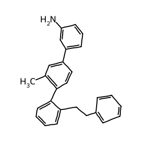 Cc1cc(-c2cccc(N)c2)ccc1-c1ccccc1CCc1ccccc1